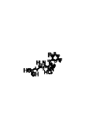 Cl.NC(CCCCB(O)O)c1nnnn1Cc1cc(F)ccc1F